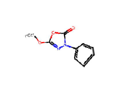 CCCCCCCCOc1nn(-c2ccccc2)c(=O)o1